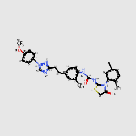 Cc1ccc(C(C)C)c(N2C(=O)CSC2=NC(=O)Nc2ccc(CCc3ncn(-c4ccc(OC(F)(F)F)cc4)n3)cc2C(F)(F)F)c1